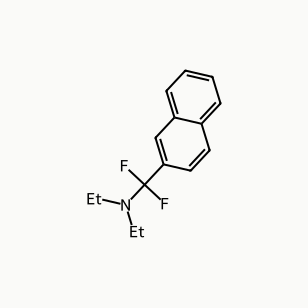 CCN(CC)C(F)(F)c1ccc2ccccc2c1